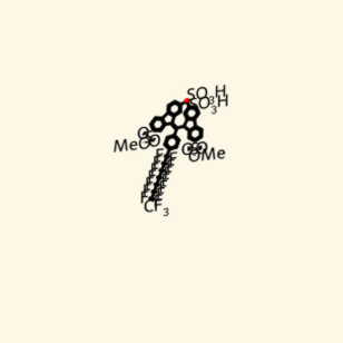 COS(=O)(=O)c1ccc2c(c1)/C(=C(\c1ccc(C(F)(F)C(F)(F)C(F)(F)C(F)(F)C(F)(F)C(F)(F)C(F)(F)C(F)(F)F)cc1)C1c3cc(CS(=O)(=O)O)ccc3-c3ccc(S(=O)(=O)OC)cc31)c1cc(CS(=O)(=O)O)ccc1-2